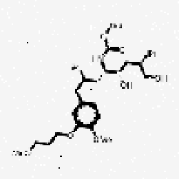 COCCCOc1cc(CC(C[C@H](NC(=O)OC(C)(C)C)[C@@H](O)C[C@H](CO)C(C)C)C(C)C)ccc1OC